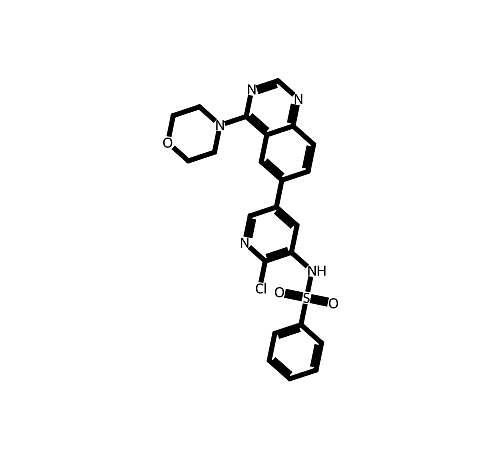 O=S(=O)(Nc1cc(-c2ccc3ncnc(N4CCOCC4)c3c2)cnc1Cl)c1ccccc1